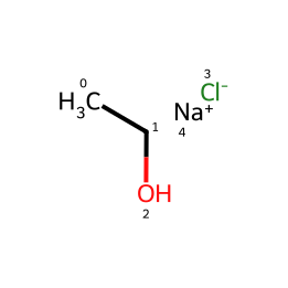 CCO.[Cl-].[Na+]